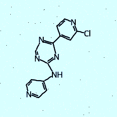 Clc1cc(-c2ncnc(Nc3ccncc3)n2)ccn1